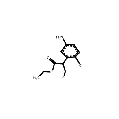 CCOC(=O)C(CCl)c1cc(N)ccc1Cl